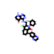 C[C@H](Nc1ncnc2[nH]ccc(=O)c12)c1c(Cl)c2cccc(-c3ccc4nccnc4c3)c2c(=O)n1-c1ccccc1